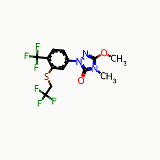 COc1nn(-c2ccc(C(F)(F)F)c(SCC(F)(F)F)c2)c(=O)n1C